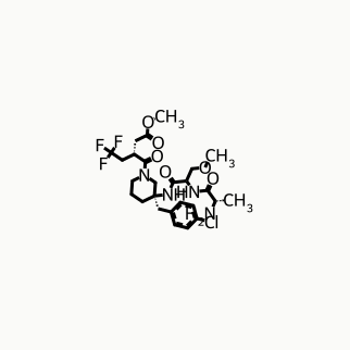 COCC(NC(=O)[C@H](C)N)C(=O)N[C@@]1(Cc2ccc(Cl)cc2)CCCN(C(=O)[C@@H](CC(=O)OC)CC(F)(F)F)C1